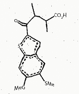 COc1cc2sc(C(=O)C(C)C(C)C(=O)O)cc2cc1SC